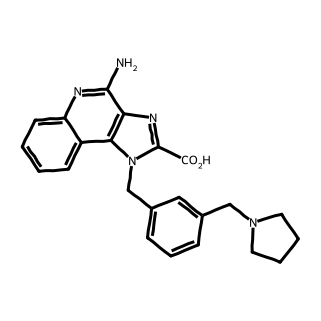 Nc1nc2ccccc2c2c1nc(C(=O)O)n2Cc1cccc(CN2CCCC2)c1